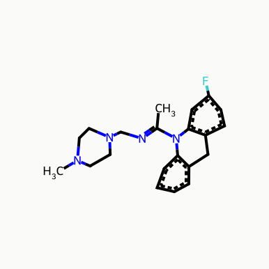 C/C(=N\CN1CCN(C)CC1)N1c2ccccc2Cc2ccc(F)cc21